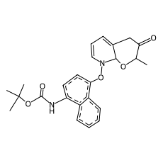 CC1OC2C(=CC=CN2Oc2ccc(NC(=O)OC(C)(C)C)c3ccccc23)CC1=O